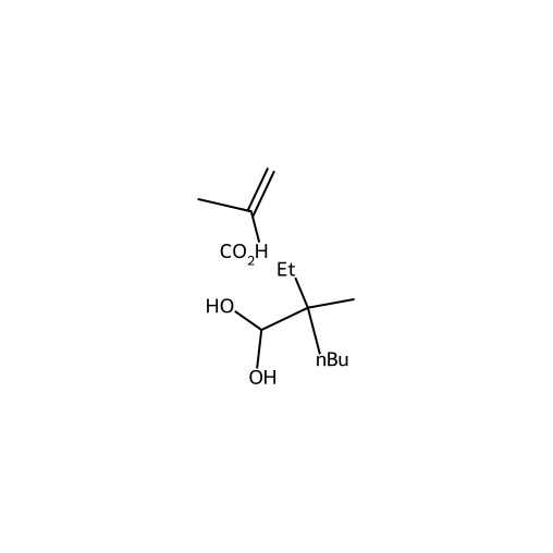 C=C(C)C(=O)O.CCCCC(C)(CC)C(O)O